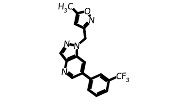 Cc1cc(Cn2ncc3ncc(-c4cccc(C(F)(F)F)c4)cc32)no1